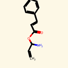 C=CC(N)OC(=O)C=Cc1ccccc1